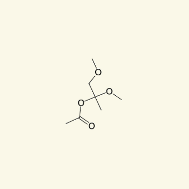 COCC(C)(OC)OC(C)=O